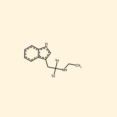 [2H]C([2H])(Cc1c[nH]c2ccccc12)NCC